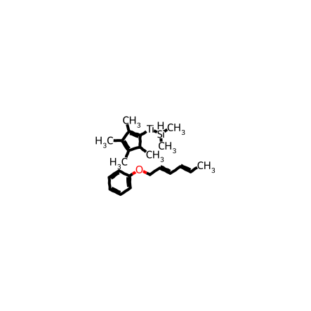 CC1=C(C)C(C)[C]([Ti][SiH](C)C)=C1C.CC=CC=CCOc1ccccc1